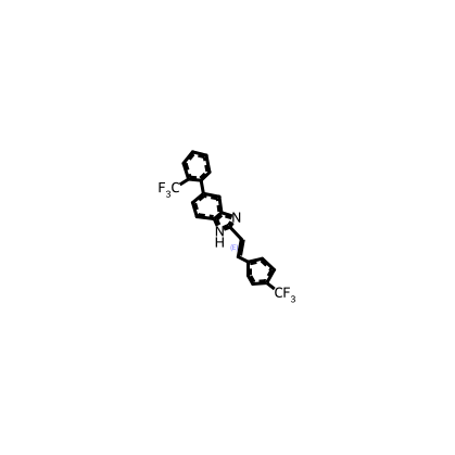 FC(F)(F)c1ccc(/C=C/c2nc3cc(-c4ccccc4C(F)(F)F)ccc3[nH]2)cc1